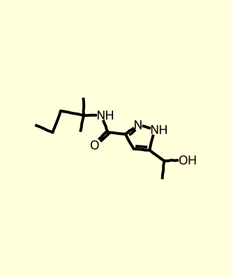 CCCC(C)(C)NC(=O)c1cc(C(C)O)[nH]n1